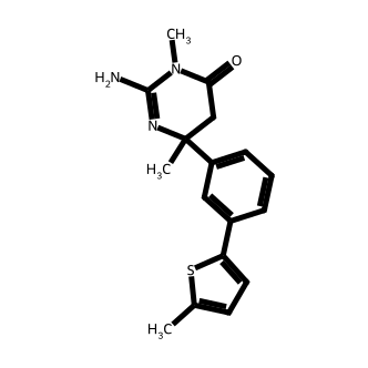 Cc1ccc(-c2cccc(C3(C)CC(=O)N(C)C(N)=N3)c2)s1